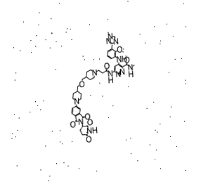 CNC(=O)c1nnc(NC(=O)CCN2CCC(COCC3CCN(c4ccc5c(c4)C(=O)N(C4CCC(=O)NC4=O)C5=O)CC3)CC2)cc1Nc1cccc(-c2ncn(C)n2)c1OC